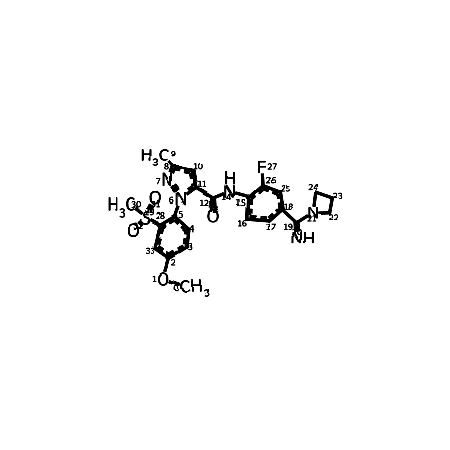 COc1ccc(-n2nc(C)cc2C(=O)Nc2ccc(C(=N)N3CCC3)cc2F)c(S(C)(=O)=O)c1